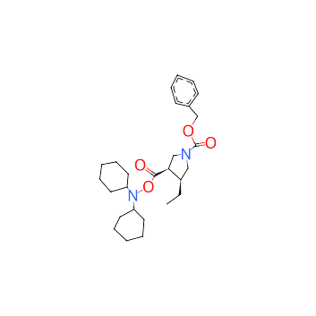 CC[C@@H]1CN(C(=O)OCc2ccccc2)C[C@@H]1C(=O)ON(C1CCCCC1)C1CCCCC1